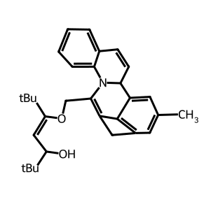 Cc1cc2c3c(c1)C1C=Cc4ccccc4N1C(CO/C(=C\C(O)C(C)(C)C)C(C)(C)C)=C3C2